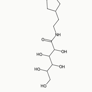 O=C(NCCC1CCCC1)C(O)C(O)C(O)C(O)CO